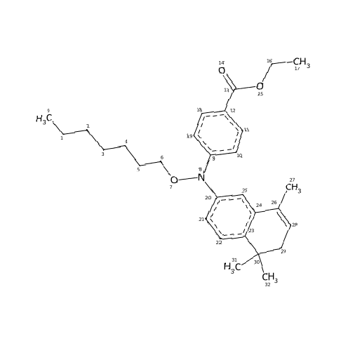 CCCCCCCON(c1ccc(C(=O)OCC)cc1)c1ccc2c(c1)C(C)=CCC2(C)C